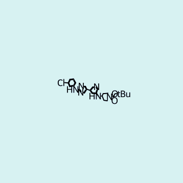 CC(C)(C)OC(=O)N1CCC(Nc2cncc(-c3cnc(Nc4cccc(Cl)c4)nc3)c2)CC1